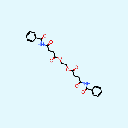 O=C(CCC(=O)OCCOC(=O)CCC(=O)NC(=O)c1ccccc1)NC(=O)c1ccccc1